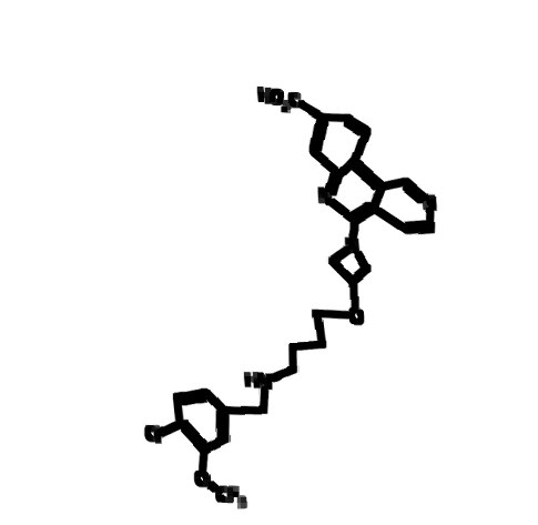 O=C(O)c1ccc2c(c1)nc(N1CC(OCCCCNCc3ccc(Cl)c(OC(F)(F)F)c3)C1)c1ccncc12